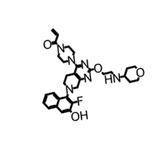 C=CC(=O)N1CCN(c2nc(OCCNC3CCOCC3)nc3c2CCN(c2c(F)c(O)cc4ccccc24)C3)CC1